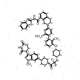 Cc1c(O[C@H]2CC[C@H](CC(F)(F)C(=O)N3CCN(c4ccc5c(C6CCC(=O)NC6=O)nn(C)c5c4)CC3)CC2)cccc1-c1ccc(N2CCc3cccc(C(=O)Nc4nc5ccccc5s4)c3C2)nc1C(=O)O